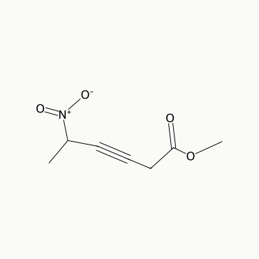 COC(=O)CC#CC(C)[N+](=O)[O-]